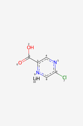 O=C(O)c1cnc(Cl)cn1.[LiH]